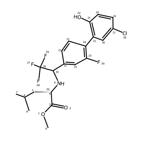 COC(=O)[C@H](CC(C)C)NC(c1ccc(-c2cc(Cl)ccc2O)c(F)c1)C(F)(F)F